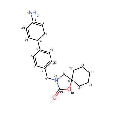 NC1=CCC(c2ccc(CN3CC4(CCCCC4)OC3=O)cc2)C=C1